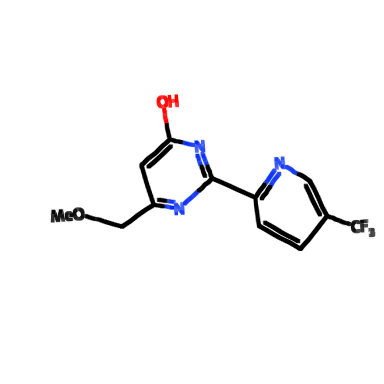 COCc1cc(O)nc(-c2ccc(C(F)(F)F)cn2)n1